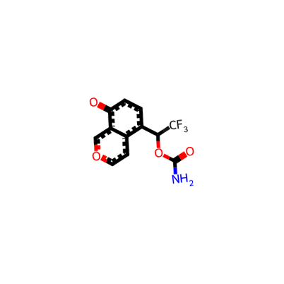 NC(=O)OC(c1ccc(=O)c2coccc1-2)C(F)(F)F